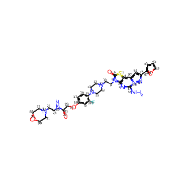 Nc1nc2c(sc(=O)n2CCN2CCN(c3ccc(OCC(=O)NCCN4CCOCC4)cc3F)CC2)c2cc(-c3ccco3)nn12